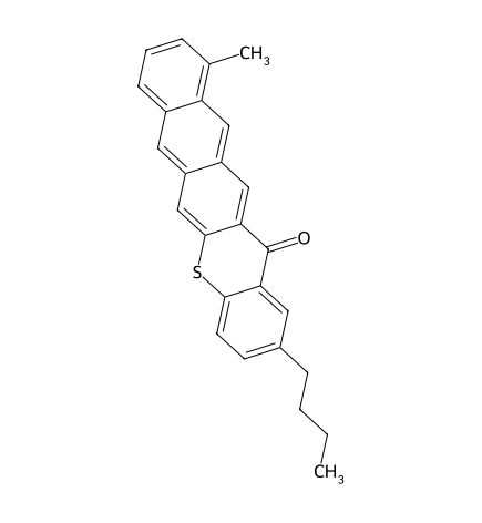 CCCCc1ccc2sc3cc4cc5cccc(C)c5cc4cc3c(=O)c2c1